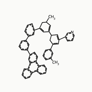 Cc1cccc(C2=CC(c3cccnc3)=CC(C3=CC(C)CC(c4cccc(-c5cccc(-c6ccc7c8ccccc8c8ccccc8c7c6)c5)c4)=C3)C2)c1